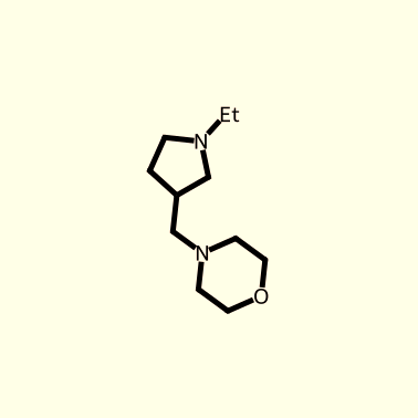 CCN1CCC(CN2CCOCC2)C1